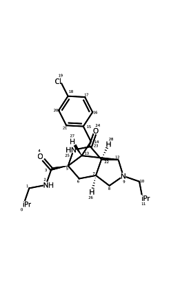 CC(C)CNC(=O)[C@]12C[C@@H]3CN(CC(C)C)C([C@H]1Cc1ccc(Cl)cc1)[C@@H]3C(=O)N2